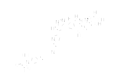 Cc1cc(N2CCC(CN3CCN(c4ccc(-c5cc6c(-c7ccc(C(C)NC(=O)c8noc(C(C)(C)C)n8)c(C)c7F)ncnc6[nH]5)cn4)CC3)CC2)ccc1N1CCC(=O)NC1=O